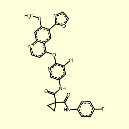 COc1cc2nccc(Oc3ncc(NC(=O)C4(C(=O)Nc5ccc(F)cc5)CC4)cc3Cl)c2cc1-c1ncco1